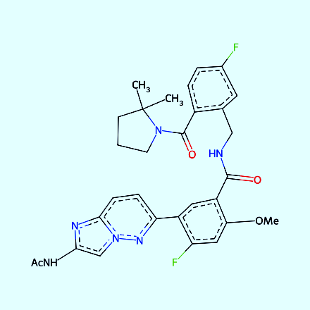 COc1cc(F)c(-c2ccc3nc(NC(C)=O)cn3n2)cc1C(=O)NCc1cc(F)ccc1C(=O)N1CCCC1(C)C